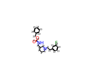 O=C(NCC1CCCN(CCc2cccc(F)c2)C1)OCc1ccccc1